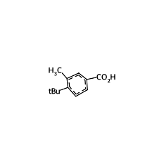 Cc1cc(C(=O)O)ccc1C(C)(C)C